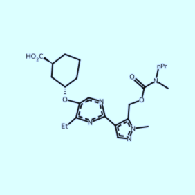 CCCN(C)C(=O)OCc1c(-c2ncc(O[C@H]3CCC[C@H](C(=O)O)C3)c(CC)n2)cnn1C